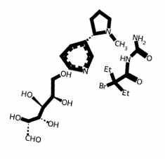 CCC(Br)(CC)C(=O)NC(N)=O.CN1CCC[C@H]1c1cccnc1.O=C[C@H](O)[C@@H](O)[C@@H](O)[C@H](O)CO